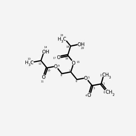 C=C(C)C(=O)OCC(COC(=O)C(C)O)OC(=O)C(C)O